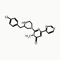 Cn1c(N2CCNC(Cc3ccc(Cl)cc3)C2)nc(-c2ccncn2)cc1=O